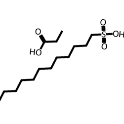 CCC(=O)O.CCCCCCCCCCCCS(=O)(=O)O